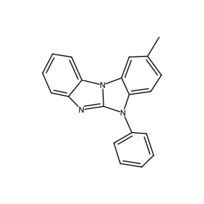 Cc1ccc2c(c1)n1c3ccccc3nc1n2-c1ccccc1